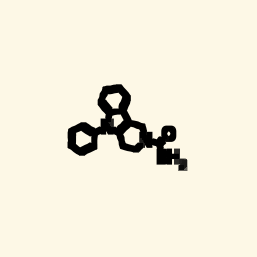 BC(=O)N1CCc2c(c3ccccc3n2-c2ccccc2)C1